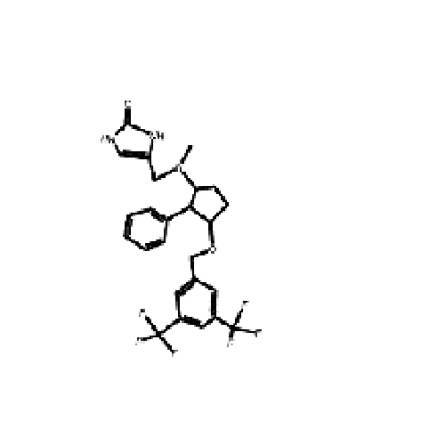 CN(Cc1c[nH]c(=O)[nH]1)C1CCC(OCc2cc(C(F)(F)F)cc(C(F)(F)F)c2)C1c1ccccc1